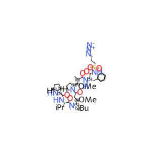 CC[C@H](C)[C@@H]([C@@H](CC(=O)N1CCC[C@H]1[C@H](OC)[C@@H](C)C(=O)N[C@@H](Cc1ccccc1)C(=O)NS(=O)(=O)CCCN=[N+]=[N-])OC)N(C)C(=O)C(NC(=O)[C@H]1N[C@@H]2CC[C@H]1C2)C(C)C